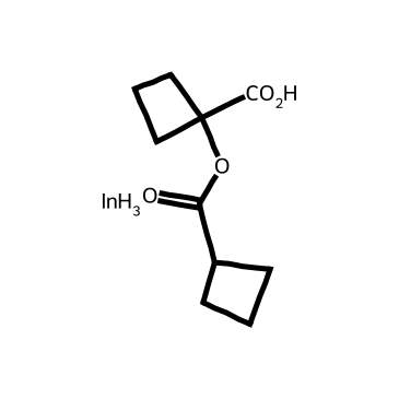 O=C(OC1(C(=O)O)CCC1)C1CCC1.[InH3]